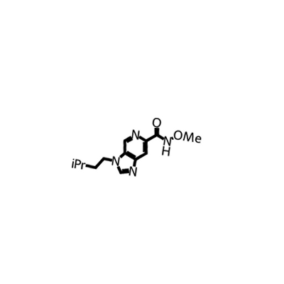 CONC(=O)c1cc2ncn(CCC(C)C)c2cn1